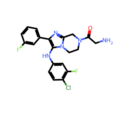 NCC(=O)N1CCn2c(nc(-c3cccc(F)c3)c2Nc2ccc(Cl)c(F)c2)C1